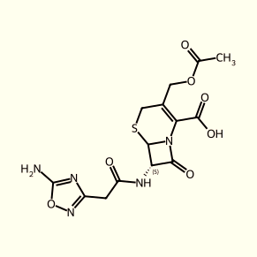 CC(=O)OCC1=C(C(=O)O)N2C(=O)[C@H](NC(=O)Cc3noc(N)n3)C2SC1